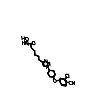 N#Cc1ccc(OC2CCC(n3cc(CCCCCC(=O)NO)nn3)CC2)cc1Cl